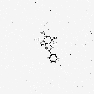 CCCCN1CC(CC)(CC)N(OCc2ccccc2)C(CC)(CC)C1C=O